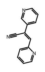 N#C/C(=C\c1ccccn1)c1cccnc1